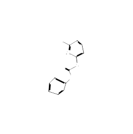 O=C(Nc1cccc(S)[n+]1[O-])Oc1ccccc1